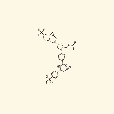 CCS(=O)(=O)c1ccc([C@H](CC#N)NC(=O)c2ccc(N3C[C@H](N(CC4CC4)C[C@H]4CC[C@H](C(F)(F)F)CC4)C[C@H]3COC(F)F)cc2)cc1